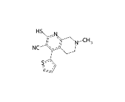 CN1CCc2c(nc(S)c(C#N)c2-c2cccs2)C1